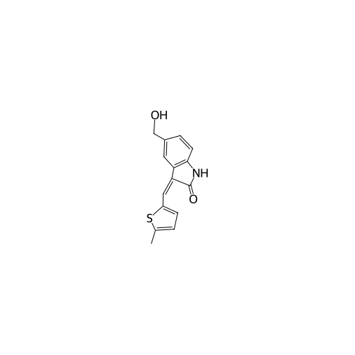 Cc1ccc(C=C2C(=O)Nc3ccc(CO)cc32)s1